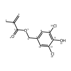 C=C(C)C(=O)OCc1cc(Cl)c(O)c(Cl)c1